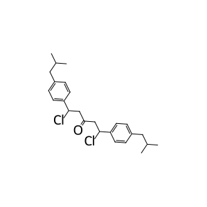 CC(C)Cc1ccc(C(Cl)CC(=O)CC(Cl)c2ccc(CC(C)C)cc2)cc1